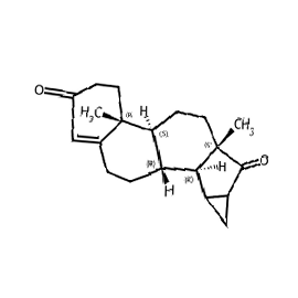 C[C@]12CCC(=O)C=C1CC[C@@H]1[C@@H]2CC[C@]2(C)C(=O)C3CC3[C@@H]12